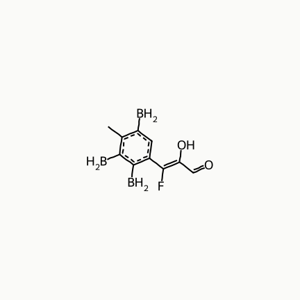 Bc1cc(/C(F)=C(\O)C=O)c(B)c(B)c1C